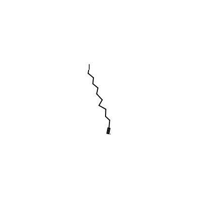 [C]#CCCCCCCCCCCI